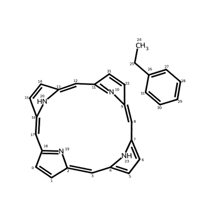 C1=Cc2cc3ccc(cc4nc(cc5ccc(cc1n2)[nH]5)C=C4)[nH]3.CCc1ccccc1